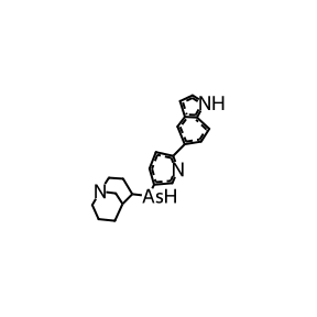 c1cc2cc(-c3ccc([AsH]C4CCN5CCCC4C5)cn3)ccc2[nH]1